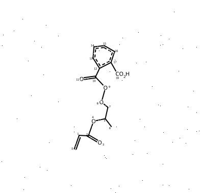 C=CC(=O)OC(C)COOC(=O)c1ccccc1C(=O)O